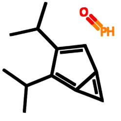 CC(C)c1cc2cc-2c1C(C)C.O=P